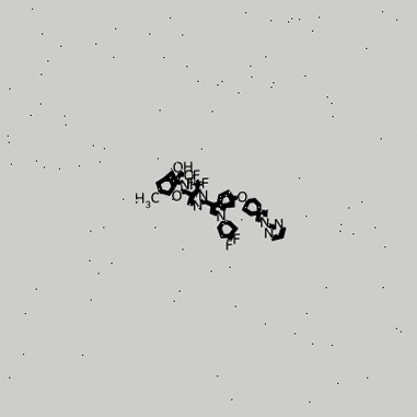 CC1CC2CC(C1)C(NC(=O)c1cnc(-c3cn(C4CCC(F)(F)CC4)c4cc(OC5CCC6(CC5)CN(c5ncccn5)C6)ccc34)nc1C(F)(F)F)(C(=O)O)C2